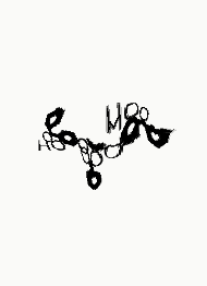 O=C(OC(COc1ccc(C(=O)c2ccccc2)c(O)c1)COc1ccc(C(=O)c2ccccc2)c(O)c1)c1ccccc1